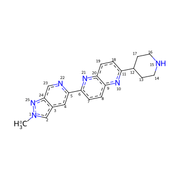 Cn1cc2cc(-c3ccc4nc(C5CCNCC5)ccc4n3)ncc2n1